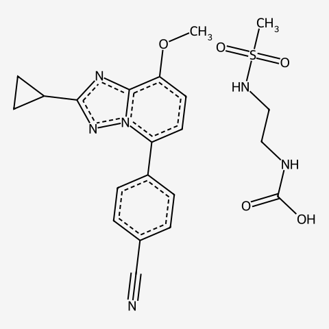 COc1ccc(-c2ccc(C#N)cc2)n2nc(C3CC3)nc12.CS(=O)(=O)NCCNC(=O)O